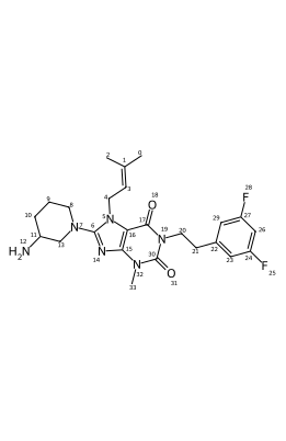 CC(C)=CCn1c(N2CCCC(N)C2)nc2c1c(=O)n(CCc1cc(F)cc(F)c1)c(=O)n2C